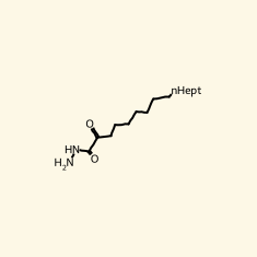 CCCCCCCCCCCCCCC(=O)C(=O)NN